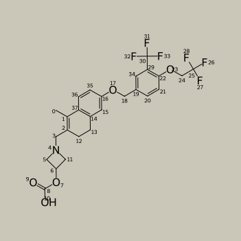 CC1=C(CN2CC(OC(=O)O)C2)CCc2cc(OCc3ccc(OCC(F)(F)F)c(C(F)(F)F)c3)ccc21